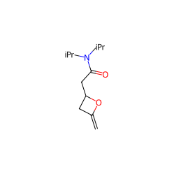 C=C1CC(CC(=O)N(C(C)C)C(C)C)O1